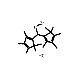 CC1=C(C)C(C)(C)C(C([O][Zr])C2=C(C)C(C)=C(C)C2(C)C)=C1C.Cl